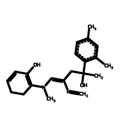 C=N/C(=C\N(C)C1=C(O)C=CCC1)CC(C)(O)c1ccc(C)cc1C